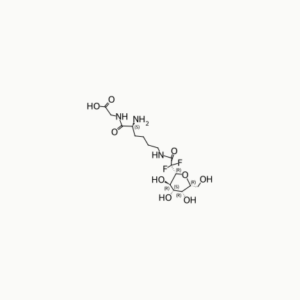 N[C@@H](CCCCNC(=O)C(F)(F)[C@@H]1O[C@H](CO)[C@H](O)[C@H](O)[C@H]1O)C(=O)NCC(=O)O